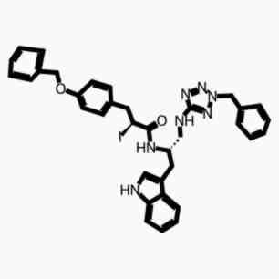 O=C(N[C@H](CNc1nnn(Cc2ccccc2)n1)Cc1c[nH]c2ccccc12)[C@@H](I)Cc1ccc(OCc2ccccc2)cc1